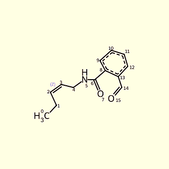 CC/C=C\CNC(=O)c1ccccc1C=O